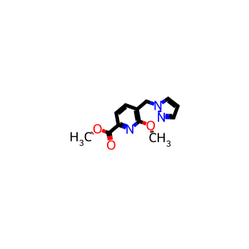 COC(=O)c1ccc(Cn2cccn2)c(OC)n1